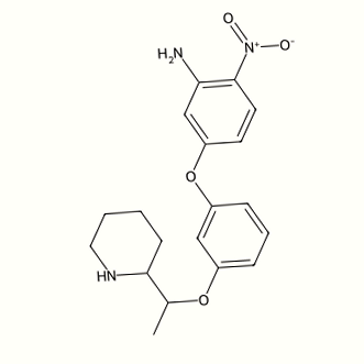 CC(Oc1cccc(Oc2ccc([N+](=O)[O-])c(N)c2)c1)C1CCCCN1